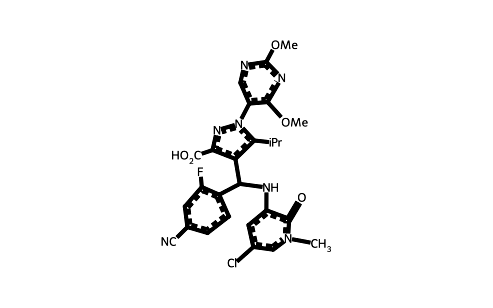 COc1ncc(-n2nc(C(=O)O)c(C(Nc3cc(Cl)cn(C)c3=O)c3ccc(C#N)cc3F)c2C(C)C)c(OC)n1